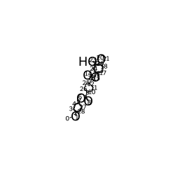 COc1ccc(OC(=O)C2CCC(C(=O)Oc3ccc(OC)c(O)c3)CC2)cc1